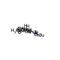 CCCCc1cnc(/C=C/c2cnc(NC(=O)Nc3ccc(C(=O)N(C)C)cc3)s2)o1